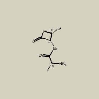 C[C@@H](N)C(=O)N[C@@H]1C(=O)O[C@@H]1C